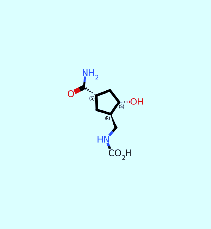 NC(=O)[C@H]1C[C@H](CNC(=O)O)[C@@H](O)C1